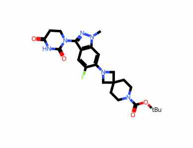 Cn1nc(N2CCC(=O)NC2=O)c2cc(F)c(N3CC4(CCN(C(=O)OC(C)(C)C)CC4)C3)cc21